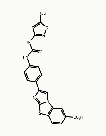 CC(C)(C)c1cc(NC(=O)Nc2ccc(-c3cn4c(n3)sc3ccc(C(=O)O)cc34)cc2)no1